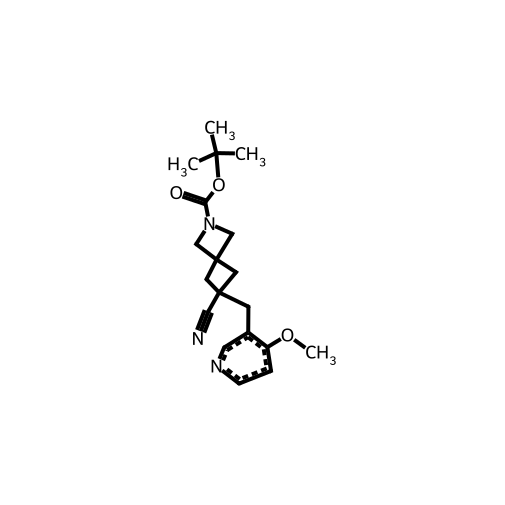 COc1ccncc1CC1(C#N)CC2(CN(C(=O)OC(C)(C)C)C2)C1